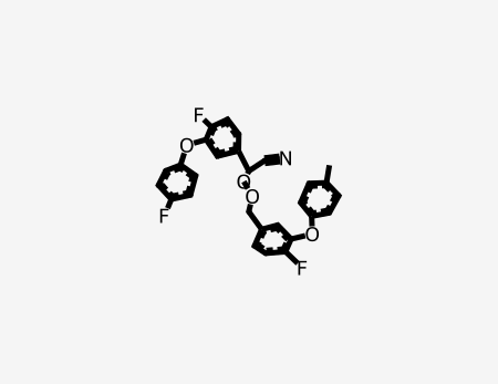 Cc1ccc(Oc2cc(COOC(C#N)c3ccc(F)c(Oc4ccc(F)cc4)c3)ccc2F)cc1